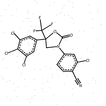 N#Cc1ccc(N2CC(c3cc(Cl)c(Cl)c(Cl)c3)(C(F)(F)F)OC2=O)cc1Cl